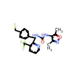 Cc1noc(C)c1NC(=O)N[C@@H](c1ccc(CF)cc1)c1ncccc1C(F)(F)F